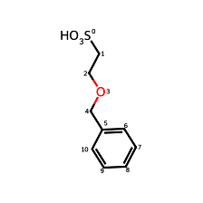 O=S(=O)(O)CCOCc1ccccc1